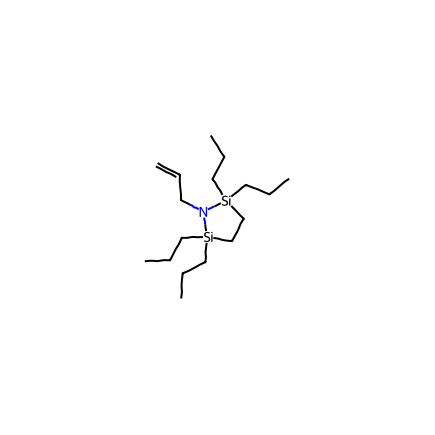 C=CCN1[Si](CCC)(CCC)CC[Si]1(CCC)CCC